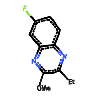 CCc1nc2ccc(F)cc2nc1OC